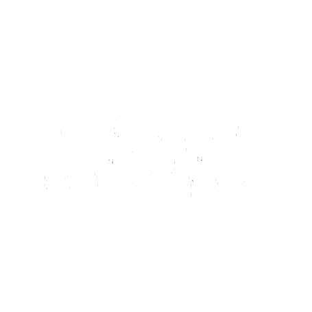 c1ccc2cc(N(c3nccc4ccccc34)c3ccc4ccc5c(N(c6ccc7ccccc7c6)c6nccc7ccccc67)ccc6ccc3c4c65)ccc2c1